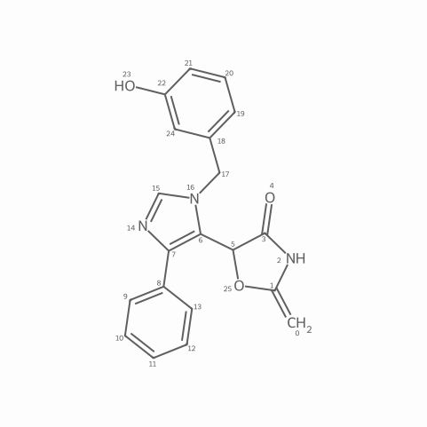 C=C1NC(=O)C(c2c(-c3ccccc3)ncn2Cc2cccc(O)c2)O1